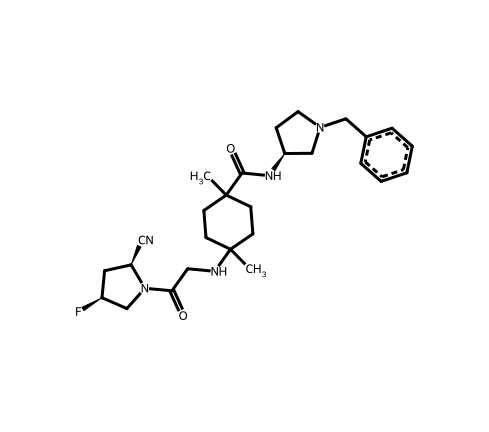 CC1(NCC(=O)N2C[C@@H](F)C[C@H]2C#N)CCC(C)(C(=O)N[C@H]2CCN(Cc3ccccc3)C2)CC1